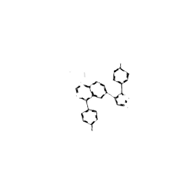 Cl.Cl.Fc1ccc(-c2n[nH]cc2-c2ccc3ncnc(-c4ccc(F)cc4)c3c2)cc1